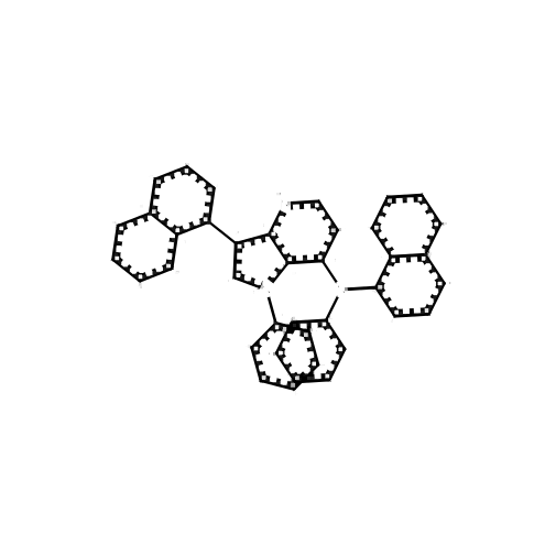 c1ccc(N(c2cccc3ccccc23)c2ccnc3c(-c4cccc5ccccc45)cn(-c4ccccc4)c23)cc1